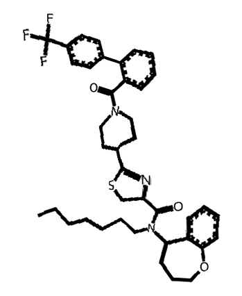 CCCCCCCN(C(=O)C1CSC(C2CCN(C(=O)c3ccccc3-c3ccc(C(F)(F)F)cc3)CC2)=N1)C1CCCOc2ccccc21